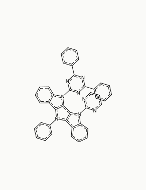 c1ccc(-c2nc(-c3ccccc3)nc(-n3c4ccccc4c4c3c3c(c5ccccc5n3-c3ncccn3)n4-c3ccccc3)n2)cc1